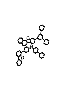 c1ccc(-c2ccc(N(c3ccc(-c4cccc5c4oc4ccccc45)cc3)c3cc(-c4cc(-c5ccccc5)cc(-c5ccccc5)c4)cc4oc5c6ccccc6ccc5c34)cc2)cc1